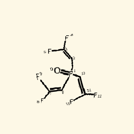 O=P(C=C(F)F)(C=C(F)F)C=C(F)F